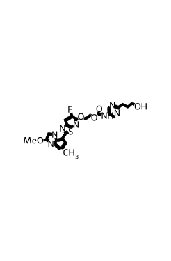 COc1cnc2c(-c3nc4cc(F)c(OCCOC(=O)Nc5cnc(CCCO)nc5)nc4s3)cc(C)cc2n1